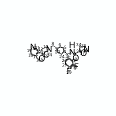 O=C(NC(c1ccc(CN2CCC3(CC2)OCc2ccncc23)cc1)c1ccc(F)c(F)c1)c1ccno1